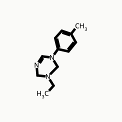 CCN1CN=CN(c2ccc(C)cc2)C1